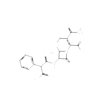 CNC(=O)C1=C(C(=O)O)N2C(=O)C(NC(=O)C(C(=O)O)c3ccccc3)[C@H]2SC1